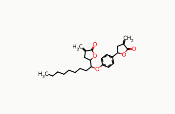 C=C1CC(c2ccc(OC(CCCCCCCC)C3CC(=C)C(=O)O3)cc2)OC1=O